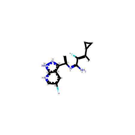 C=C(/N=C(N)\C(F)=C(/C)C1CC1)c1n[nH]c2ncc(F)cc12